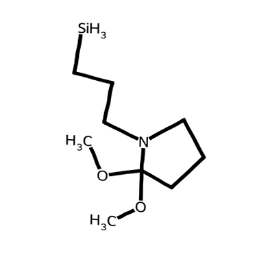 COC1(OC)CCCN1CCC[SiH3]